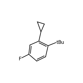 CC(C)(C)c1ccc(F)cc1C1CC1